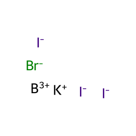 [B+3].[Br-].[I-].[I-].[I-].[K+]